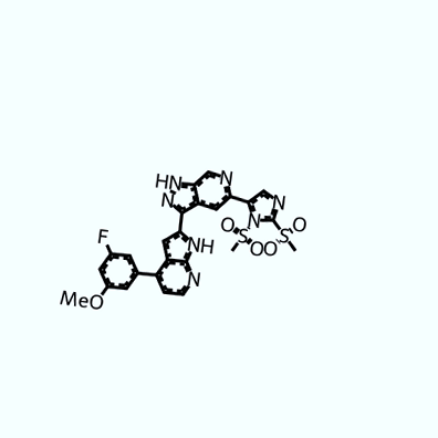 COc1cc(F)cc(-c2ccnc3[nH]c(-c4n[nH]c5cnc(-c6cnc(S(C)(=O)=O)n6S(C)(=O)=O)cc45)cc23)c1